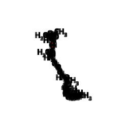 CCCn1c(=O)c2nc(C34CCC(CCC(=O)N(C)CC(=O)NCCCOCCOCCOCCCNC(=O)CN(C)C(=O)Cc5ccc6c(c5)C(C)(C)C5=C7C=C8C9=[N+](CCC8OC7CCN56)c5ccc(C)cc5C9(C)C)(CC3)CC4)[nH]c2n(CCC)c1=O